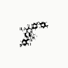 C[C@@H](C(=O)Nc1ccc(Oc2ccc(F)cc2)cn1)N1CCN(C(=O)c2cc[n+]([O-])cc2Cl)C(C)(C)C1